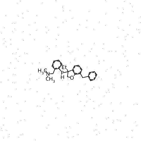 CCC1(Pc2ccccc2CN(C)C)COc2c(Cc3ccccc3)cccc21